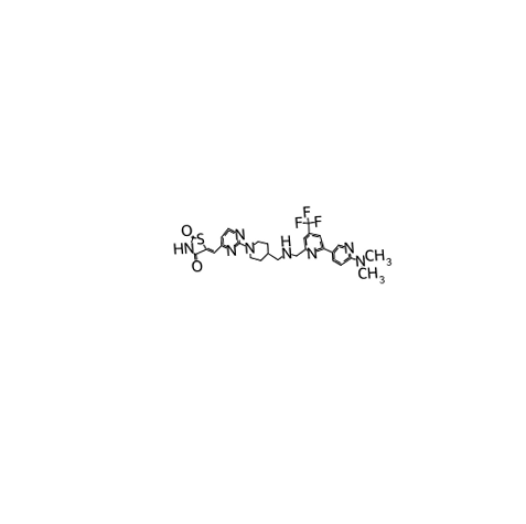 CN(C)c1ccc(-c2cc(C(F)(F)F)cc(CNCC3CCN(c4nccc(/C=C5\SC(=O)NC5=O)n4)CC3)n2)cn1